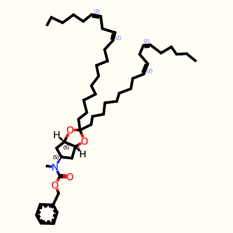 CCCCC/C=C\C/C=C\CCCCCCCCCC1(CCCCCCCC/C=C\C/C=C\CCCCC)O[C@H]2C[C@H](N(C)C(=O)OCc3ccccc3)C[C@H]2O1